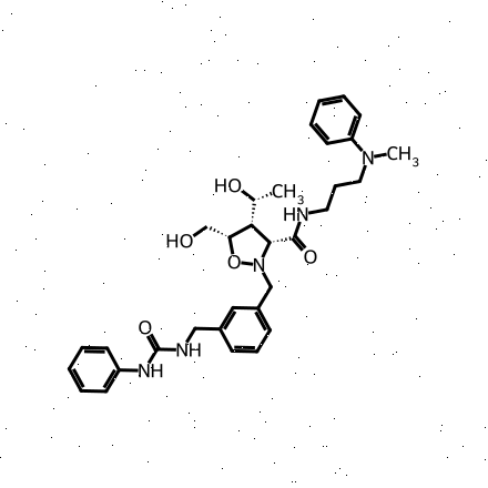 C[C@@H](O)[C@H]1[C@@H](CO)ON(Cc2cccc(CNC(=O)Nc3ccccc3)c2)[C@H]1C(=O)NCCCN(C)c1ccccc1